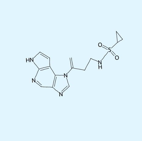 C=C(CCNS(=O)(=O)C1CC1)n1cnc2cnc3[nH]ccc3c21